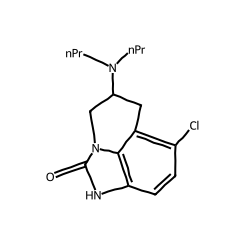 CCCN(CCC)C1Cc2c(Cl)ccc3[nH]c(=O)n(c23)C1